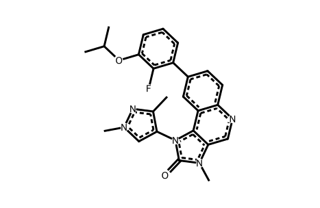 Cc1nn(C)cc1-n1c(=O)n(C)c2cnc3ccc(-c4cccc(OC(C)C)c4F)cc3c21